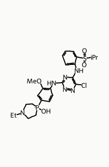 CCN1CC[P](O)(c2ccc(Nc3nnc(Cl)c(Nc4ccccc4S(=O)(=O)C(C)C)n3)c(OC)c2)CC1